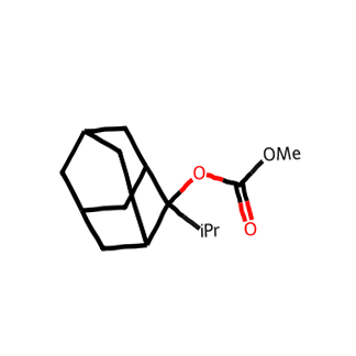 COC(=O)OC1(C(C)C)C2CC3CC(C2)CC1C3